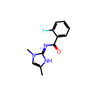 Cc1cn(C)/c(=N/C(=O)c2ccccc2F)[nH]1